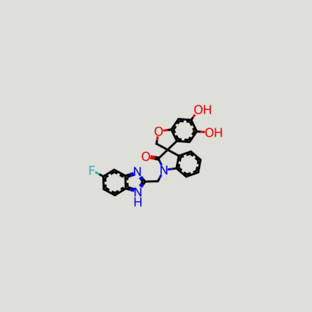 O=C1N(Cc2nc3cc(F)ccc3[nH]2)c2ccccc2C12COc1cc(O)c(O)cc12